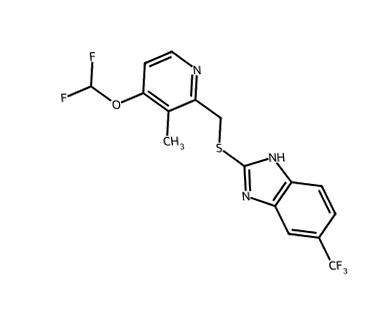 Cc1c(OC(F)F)ccnc1CSc1nc2cc(C(F)(F)F)ccc2[nH]1